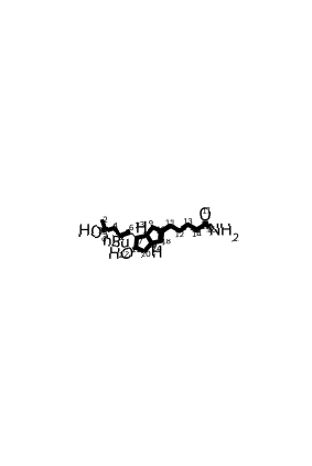 CCCC[C@@](C)(O)C/C=C/[C@@H]1[C@H]2CC(CCCCC(N)=O)=C[C@H]2C[C@H]1O